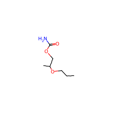 CCCOC(C)COC(N)=O